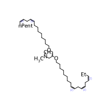 CC/C=C\C/C=C\C/C=C\CCCCCCCCOC(COCCCCCCCC/C=C\C/C=C\CCCCC)CN(C)C